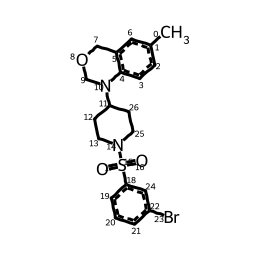 Cc1ccc2c(c1)COCN2C1CCN(S(=O)(=O)c2cccc(Br)c2)CC1